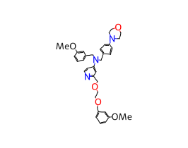 COc1cccc(COCCOCc2cc(N(Cc3ccc(N4CCOCC4)cc3)Cc3cccc(OC)c3)ccn2)c1